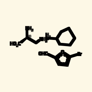 NC1CCCCC1.NC[C@H](N)C(=O)O.O=Cc1ccc(Br)o1